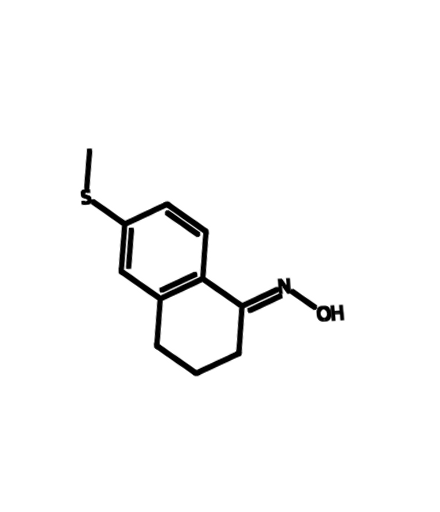 CSc1ccc2c(c1)CCCC2=NO